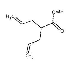 C=CCC(CC=C)C(=O)OC